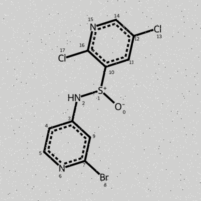 [O-][S+](Nc1ccnc(Br)c1)c1cc(Cl)cnc1Cl